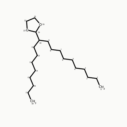 CCCCCCCCCCC(CCCCCCCC)C1OCCO1